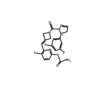 NC(=O)Oc1ccc(F)c(C=C2CN(C(=O)N3N=CC[C@H]3c3cc(F)cc(F)c3)C2)n1